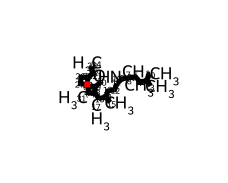 CCC(C)CCC(C)(C)C1NC1CCC(C)C(C)C1C(COC(CC)C2CCC2)C[C@H]1C